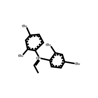 CC=[PH](c1ccc(C(C)(C)C)cc1C(C)(C)C)c1ccc(C(C)(C)C)cc1C(C)(C)C